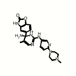 CC1=CN=C(Nc2ccc(N3CCN(C)CC3)nc2)NC1(N)c1ccc2oc(=O)[nH]c2c1